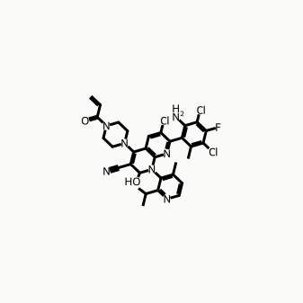 C=CC(=O)N1CCN(C2=C(C#N)C(O)N(c3c(C)ccnc3C(C)C)c3nc(-c4c(C)c(Cl)c(F)c(Cl)c4N)c(Cl)cc32)CC1